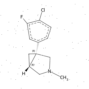 CN1C[C@@H]2C[C@@]2(c2ccc(Cl)c(F)c2)C1